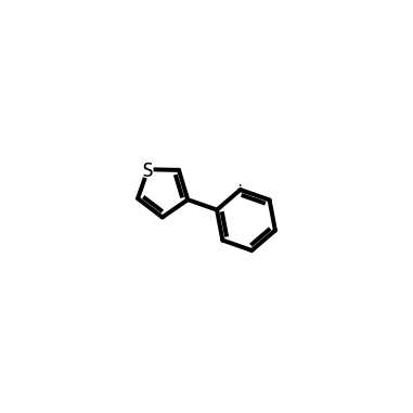 [c]1ccccc1-c1ccsc1